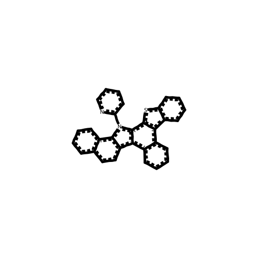 c1ccc(-n2c3c4ccccc4ccc3c3c4ccccc4c4c5ccccc5sc4c32)nc1